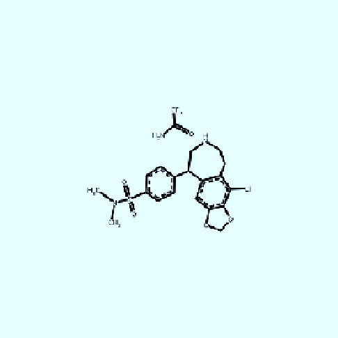 CN(C)S(=O)(=O)c1ccc(C2CNCCc3c2cc2c(c3Cl)OCO2)cc1.NC(=O)C(F)(F)F